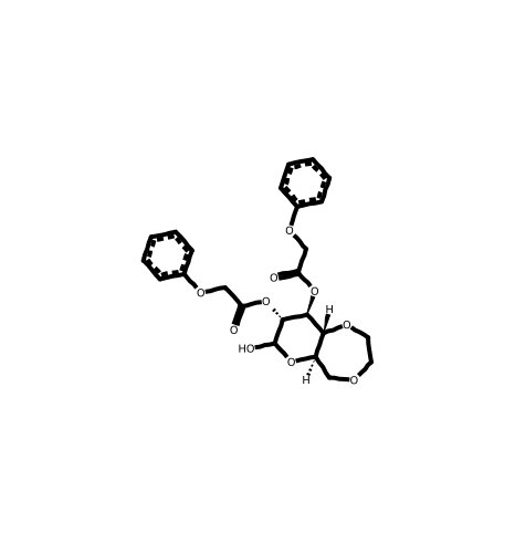 O=C(COc1ccccc1)O[C@H]1[C@@H]2OCCOC[C@H]2OC(O)[C@@H]1OC(=O)COc1ccccc1